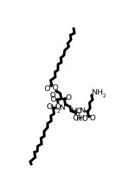 CCCCCCCCCCCCCCCC(=O)OC(=O)CC(C(=O)OC(=O)CCCCCCCCCCCCCCC)C(=O)[C@@H](N)CCC(=O)O.NCCCC[C@H](N)C(=O)O